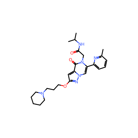 Cc1cccc(-c2cn3nc(OCCCN4CCCCC4)cc3c(=O)n2CC(=O)NC(C)C)n1